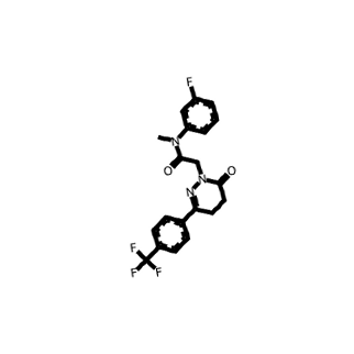 CN(C(=O)CN1N=C(c2ccc(C(F)(F)F)cc2)CCC1=O)c1cccc(F)c1